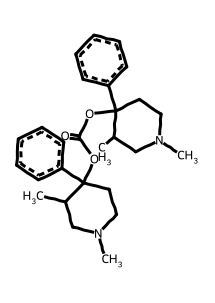 CC1CN(C)CCC1(OC(=O)OC1(c2ccccc2)CCN(C)CC1C)c1ccccc1